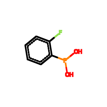 OP(O)c1ccccc1F